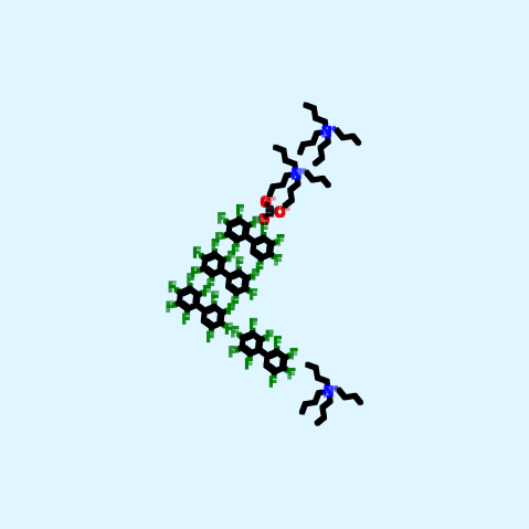 CCCC[N+](CCCC)(CCCC)CCCC.CCCC[N+](CCCC)(CCCC)CCCC.CCCC[N+](CCCC)(CCCC)CCCC.Fc1cc(-c2c(F)c(F)c(F)c(F)c2F)c(F)c(F)c1F.Fc1cc(-c2c(F)c(F)c(F)c(F)c2F)c(F)c(F)c1F.Fc1cc(-c2c(F)c(F)c(F)c(F)c2F)c(F)c(F)c1F.Fc1cc(-c2c(F)c(F)c(F)c(F)c2F)c(F)c(F)c1F.[O-]B([O-])[O-]